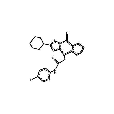 O=C(Cn1c2ncccc2c(=O)n2nc(C3CCCCC3)cc12)Nc1ccc(F)cn1